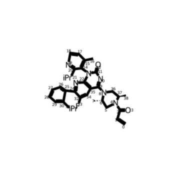 C=CC(=O)N1C[C@H](C)N(c2nc(=O)n(-c3c(C)ccnc3C(C)C)c3nc(-c4ccccc4C(C)C)c(F)cc23)C[C@H]1C